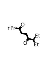 CCCC(=O)CCC(=O)C(CC)CC